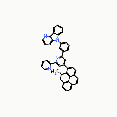 CC1Cc2cccc3ccc4ccc(-c5cc(-c6cccc(-n7c8ccccc8c8ncccc87)c6)nc(-c6ccccn6)c5)c1c4c23